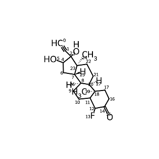 C#CC1(O)C(O)C[C@H]2[C@@H]3CCC4C(F)C(=O)CC[C@]4(C)[C@@H]3CC[C@@]21C